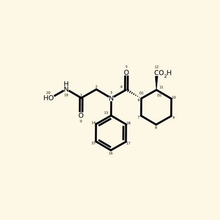 O=C(CN(C(=O)[C@H]1CCCC[C@@H]1C(=O)O)c1ccccc1)NO